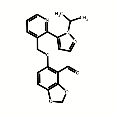 CC(C)n1nccc1-c1ncccc1COc1ccc2c(c1C=O)OCO2